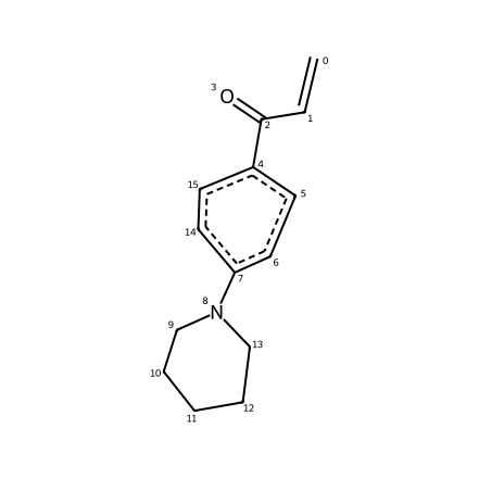 C=CC(=O)c1ccc(N2CCCCC2)cc1